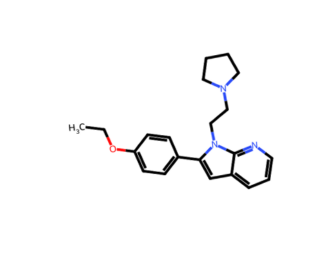 CCOc1ccc(-c2cc3cccnc3n2CCN2CCCC2)cc1